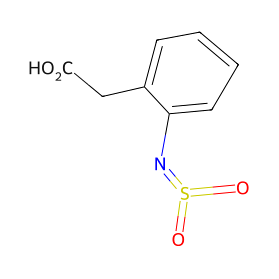 O=C(O)Cc1ccccc1N=S(=O)=O